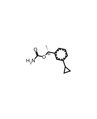 C[C@@H](OC(N)=O)c1cccc(C2CC2)c1